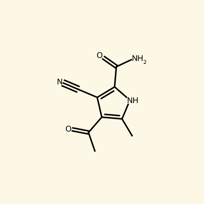 CC(=O)c1c(C)[nH]c(C(N)=O)c1C#N